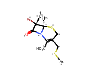 CC(=O)SCC1=C(C(=O)O)N2C(=O)[C@](C)(Br)[C@H]2SC1